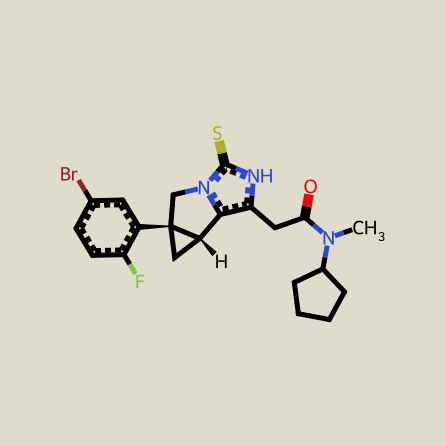 CN(C(=O)Cc1[nH]c(=S)n2c1[C@@H]1C[C@]1(c1cc(Br)ccc1F)C2)C1CCCC1